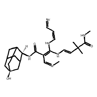 C/N=C\C(C(=O)N[C@H]1C2CC3CC1C[C@@](O)(C3)C2)=C(\N/C=C\C=N)N/C=C/C(C)(C)C(=O)NC